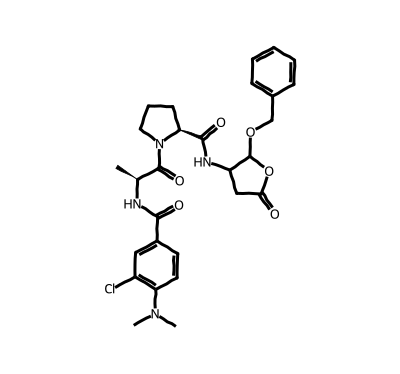 C[C@H](NC(=O)c1ccc(N(C)C)c(Cl)c1)C(=O)N1CCC[C@H]1C(=O)NC1CC(=O)OC1OCc1ccccc1